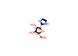 OC[C@H]1O[C@@H](c2ncc[nH]2)[C@@H](O)[C@@H]1O